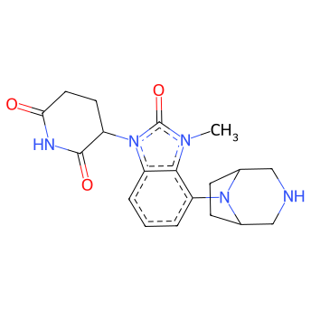 Cn1c(=O)n(C2CCC(=O)NC2=O)c2cccc(N3C4CCC3CNC4)c21